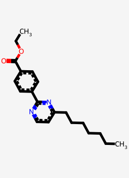 CCCCCCCc1ccnc(-c2ccc(C(=O)OCC)cc2)n1